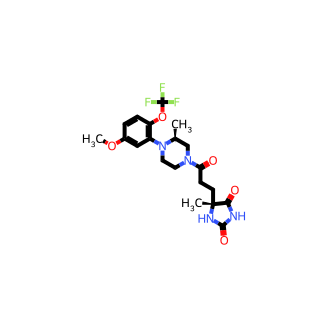 COc1ccc(OC(F)(F)F)c(N2CCN(C(=O)CC[C@@]3(C)NC(=O)NC3=O)C[C@@H]2C)c1